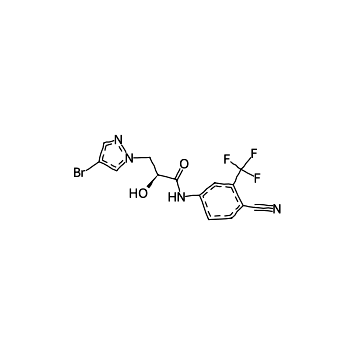 N#Cc1ccc(NC(=O)[C@@H](O)Cn2cc(Br)cn2)cc1C(F)(F)F